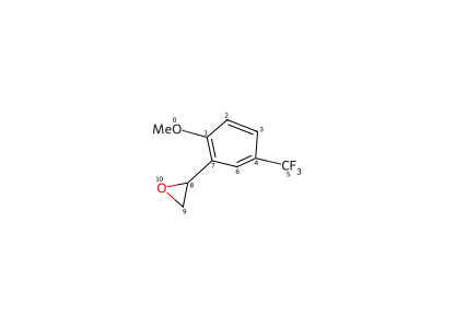 COc1ccc(C(F)(F)F)cc1C1CO1